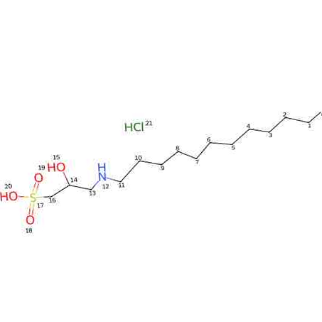 CCCCCCCCCCCCNCC(O)CS(=O)(=O)O.Cl